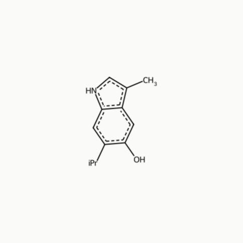 Cc1c[nH]c2cc(C(C)C)c(O)cc12